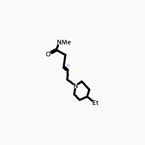 CCC1CCN(C/C=C/CC(=O)NC)CC1